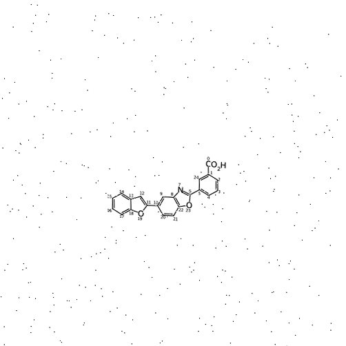 O=C(O)c1cccc(-c2nc3cc(-c4cc5ccccc5o4)ccc3o2)c1